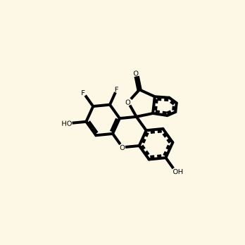 O=C1OC2(C3=C(C=C(O)C(F)C3F)Oc3cc(O)ccc32)c2ccccc21